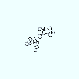 c1ccc2cc(-c3nc(-c4ccc(-c5cc(-c6cccc7oc8ccccc8c67)cc6oc7ccccc7c56)cc4)nc(-c4cccc5c4sc4ccccc45)n3)ccc2c1